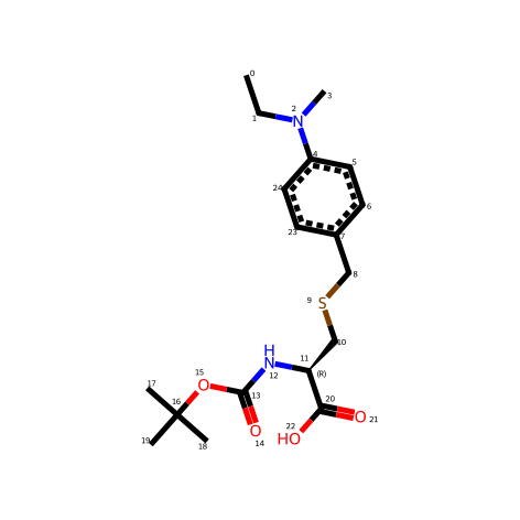 CCN(C)c1ccc(CSC[C@H](NC(=O)OC(C)(C)C)C(=O)O)cc1